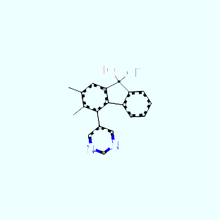 Cc1cc2c(c(-c3cncnc3)c1C)-c1ccccc1C2(O)C(F)(F)F